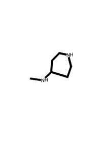 CNC1CCNCC1